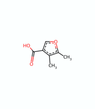 Cc1occ(C(=O)O)c1C